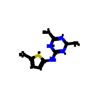 CNC1=NC(C)N=C(Nc2ccc(C)s2)N1